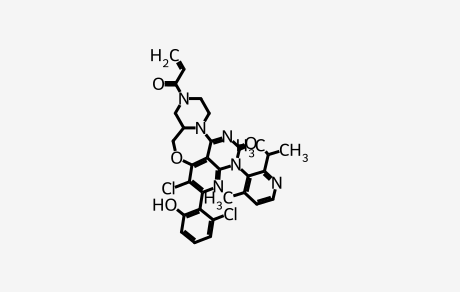 C=CC(=O)N1CCN2c3nc(=O)n(-c4c(C)ccnc4C(C)C)c4nc(-c5c(O)cccc5Cl)c(Cl)c(c34)OCC2C1